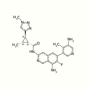 Cc1c(N)cncc1-c1cc2cc(NC(=O)[C@@H]3[C@H](C)[C@H]3c3cn(C)nn3)ncc2c(N)c1F